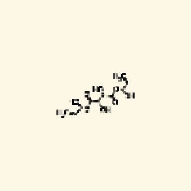 C=CC(O)OC(=O)C(O)C(O)C(=O)OC(O)C=C